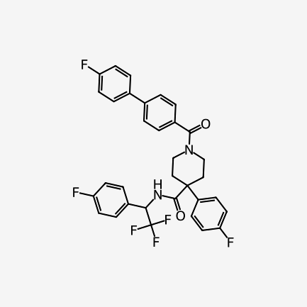 O=C(c1ccc(-c2ccc(F)cc2)cc1)N1CCC(C(=O)NC(c2ccc(F)cc2)C(F)(F)F)(c2ccc(F)cc2)CC1